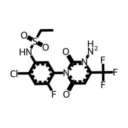 CCS(=O)(=O)Nc1cc(-n2c(=O)cc(C(F)(F)F)n(N)c2=O)c(F)cc1Cl